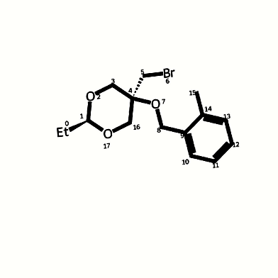 CC[C@H]1OC[C@@](CBr)(OCc2ccccc2C)CO1